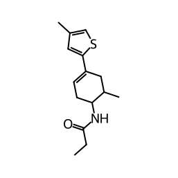 CCC(=O)NC1CC=C(c2cc(C)cs2)CC1C